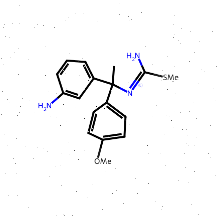 COc1ccc(C(C)(/N=C(\N)SC)c2cccc(N)c2)cc1